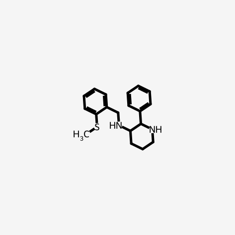 CSc1ccccc1CNC1CCCNC1c1ccccc1